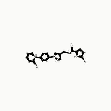 O=C(NCc1cnn(-c2ccc(-n3ccccc3=O)cc2)c1)c1ccc(Cl)s1